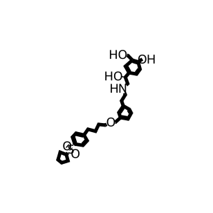 O=S(=O)(c1ccc(CCCCOCc2cccc(CCNC[C@H](O)c3ccc(O)c(CO)c3)c2)cc1)C1CCCC1